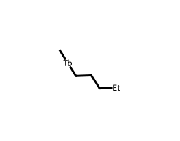 CCCC[CH2][Tb][CH3]